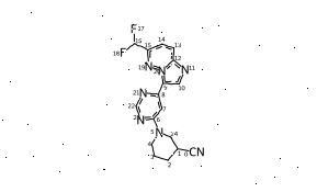 N#CC1CCCN(c2cc(-c3cnc4ccc(C(F)F)nn34)ncn2)C1